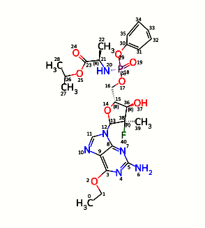 CCOc1nc(N)nc2c1ncn2C1O[C@H](CO[P@@](=O)(N[C@H](C)C(=O)OC(C)C)Oc2ccccc2)[C@@H](O)[C@@]1(C)F